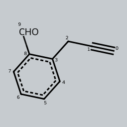 C#CCc1ccccc1C=O